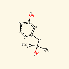 CCOC(=O)C(C)(O)Cc1cccc(O)c1